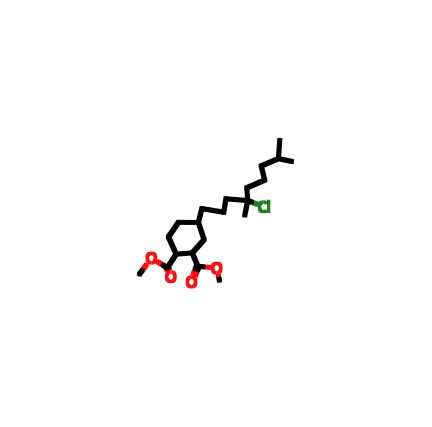 COC(=O)C1CCC(CCCC(C)(Cl)CCCC(C)C)CC1C(=O)OC